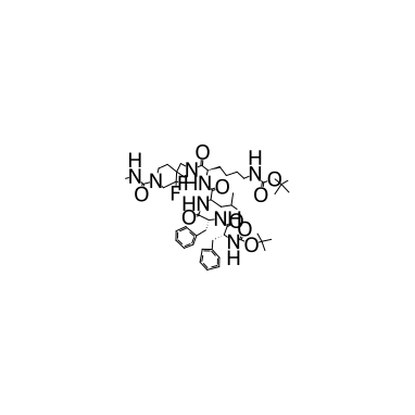 CNC(=O)N1CCC2(CN(C(=O)[C@@H](CCCCNC(=O)OC(C)(C)C)NC(=O)C(CC(C)C)NC(=O)[C@@H](Cc3ccccc3)NC(=O)[C@@H](Cc3ccccc3)NC(=O)OC(C)(C)C)C2)C(F)(F)C1